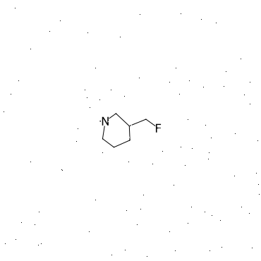 FCC1CCC[N]C1